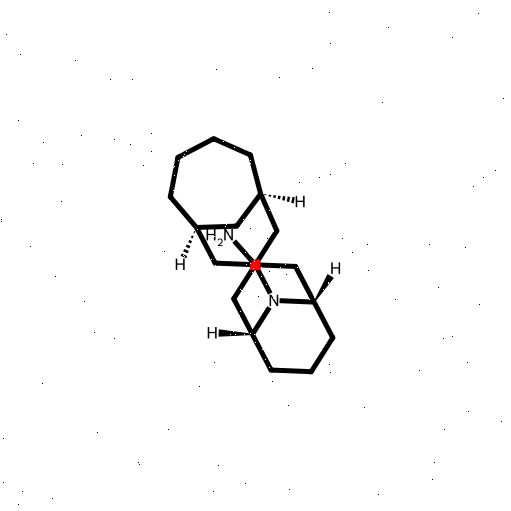 NC1C[C@H]2CCC[C@@H](C1)N2C1C[C@H]2CCCC[C@@H](C1)C2